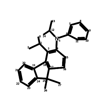 CC(C)c1c(N(c2ccccc2)C(C)C)ccc2c1-c1ccccc1C2(C)C